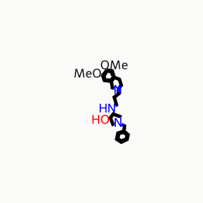 COc1cc2c(cc1OC)CN(CCCN[C@@H]1CN(Cc3ccccc3)C[C@H]1O)CC2